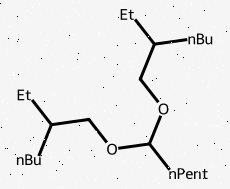 CCCCCC(OCC(CC)CCCC)OCC(CC)CCCC